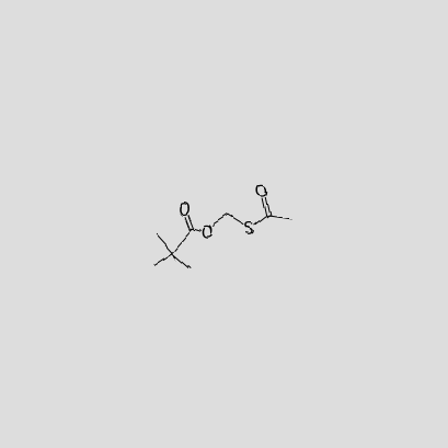 CC(=O)SCOC(=O)C(C)(C)C